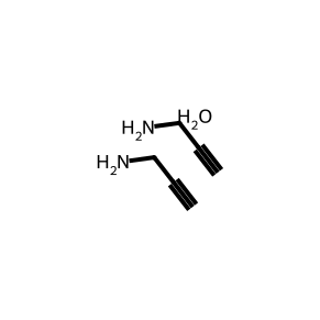 C#CCN.C#CCN.O